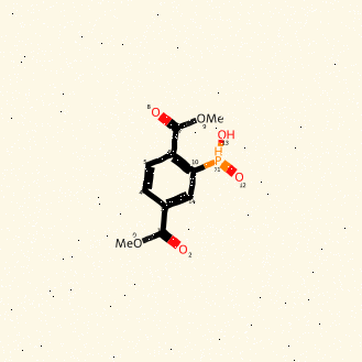 COC(=O)c1ccc(C(=O)OC)c([PH](=O)O)c1